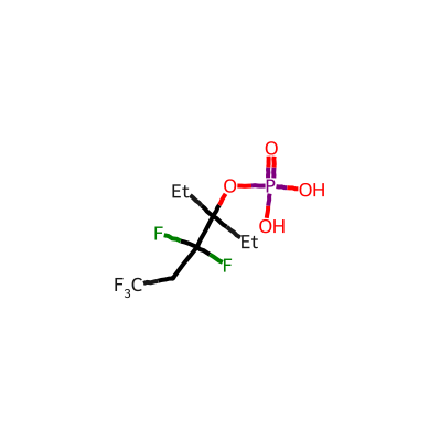 CCC(CC)(OP(=O)(O)O)C(F)(F)CC(F)(F)F